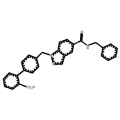 O=C(NCc1ccccc1)c1ccc2c(cnn2Cc2ccc(-c3ccccc3C(=O)O)cc2)c1